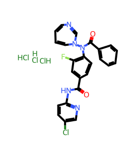 Cl.Cl.Cl.O=C(Nc1ccc(Cl)cn1)c1ccc(N(C(=O)c2ccccc2)N2C=CC=CN=C2)c(F)c1